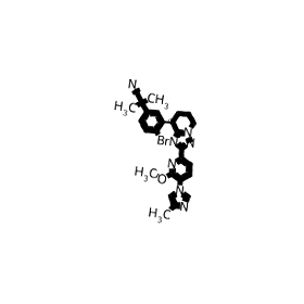 COc1nc(-c2nc3n(n2)CCC[C@@H]3c2cc(C(C)(C)C#N)ccc2Br)ccc1-n1cnc(C)c1